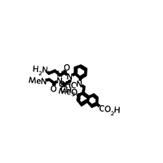 CNCC(=O)N[C@H](C)CN(C(=O)CCCN)c1ccccc1N(C=O)Cc1c(OC)ccc2cc(C(=O)O)ccc12